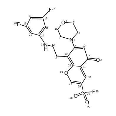 O=c1cc(N2CCOCC2)c(CCNc2cc(F)cc(F)c2)c2occ(S(=O)(=O)F)cc1-2